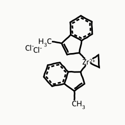 CC1=C[CH]([Zr+2]2([CH]3C=C(C)c4ccccc43)[CH2][CH2]2)c2ccccc21.[Cl-].[Cl-]